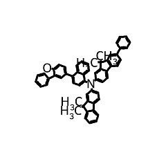 CC1(C)c2ccccc2-c2ccc(N(c3ccc4c(c3)C(C)(C)c3cc(-c5ccccc5)ccc3-4)c3ccc(-c4ccc5oc6ccccc6c5c4)c4ccccc34)cc21